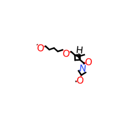 COCCCCCOCC12CC(C(=O)N3CC(OC)C3)(C1)[C@@H]2C